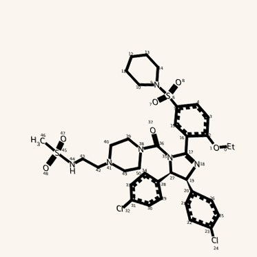 CCOc1ccc(S(=O)(=O)N2CCCCC2)cc1C1=N[C@@H](c2ccc(Cl)cc2)[C@@H](c2ccc(Cl)cc2)N1C(=O)N1CCN(CCNS(C)(=O)=O)CC1